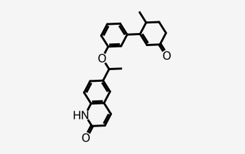 CC1CCC(=O)C=C1c1cccc(OC(C)c2ccc3[nH]c(=O)ccc3c2)c1